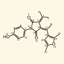 CC(C)=C1C(=O)N(c2ccc(O)cc2)C(=O)C1=C(C)c1cc(C)oc1C